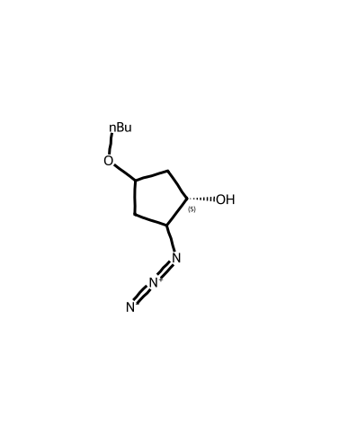 CCCCOC1CC(N=[N+]=[N-])[C@@H](O)C1